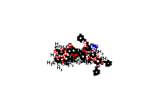 CCC1O[C@@H](OC2[C@H](O[C@H]3CCC4(C)C5CC=C6C7CC(C)(C)CC[C@]7(C(=O)O[C@H]7OC(COCc8ccccc8)[C@H](N=[N+]=[N-])C(C)C7O[C@@H]7OC(C)[C@H](O[C@@H]8OC[C@@H](OCc9ccccc9)C(OCc9ccccc9)C8C)C8OC(C)(C)OC87)C(OC)C[C@@]6(C)[C@@]5(C)CC[C@H]4[C@@]3(C)C=O)OC(C(C)=O)[C@@H](C)[C@@H]2O[C@@H]2OC[C@@H](C)[C@@H](C)C2C)C(O[Si](CC)(CC)CC)[C@@H](C)[C@@H]1C